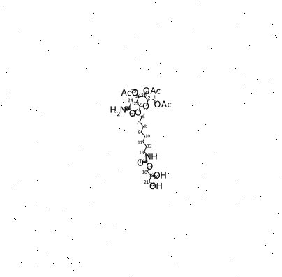 CC(=O)OC[C@H]1O[C@@H](OCCCCCCCCNC(=O)OC[C@@H](O)CO)[C@H](CC(N)=O)[C@@H](OC(C)=O)[C@H]1OC(C)=O